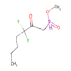 CCCCC(F)(F)C(=O)C[PH](=O)OC